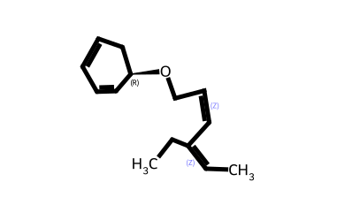 C/C=C(\C=C/CO[C@H]1C=CC=CC1)CC